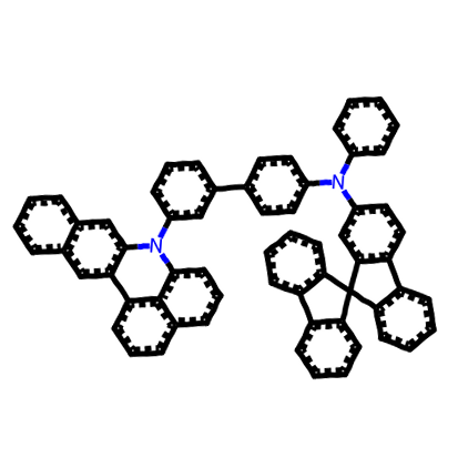 c1ccc(N(c2ccc(-c3cccc(N4c5cc6ccccc6cc5-c5cccc6cccc4c56)c3)cc2)c2ccc3c(c2)C2(c4ccccc4-c4ccccc42)c2ccccc2-3)cc1